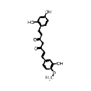 COc1ccc(C=CC(=O)CC(=O)C=Cc2ccc(O)cc2O)cc1O